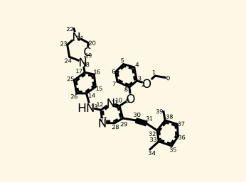 CCOc1ccccc1Oc1nc(Nc2ccc(N3CCN(C)CC3)cc2)ncc1C#Cc1c(C)cccc1C